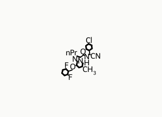 CCCc1nc2c(OCc3c(F)cccc3F)cc(C)cn2c1C(=O)NC(C#N)c1ccc(Cl)cc1